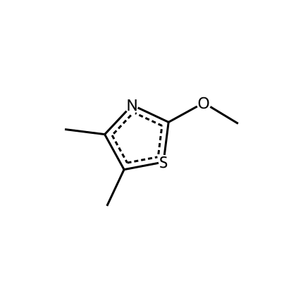 COc1nc(C)c(C)s1